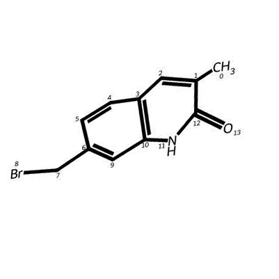 Cc1cc2ccc(CBr)cc2[nH]c1=O